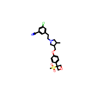 CC1CN(CCc2cc(Cl)cc(C#N)c2)CC1COc1ccc(C2(S(C)(=O)=O)COC2)cc1